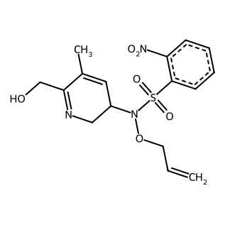 C=CCON(C1C=C(C)C(CO)=NC1)S(=O)(=O)c1ccccc1[N+](=O)[O-]